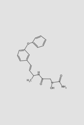 CC(/C=C/c1cccc(Oc2ccccc2)c1)NC(=O)CN(O)C(N)=O